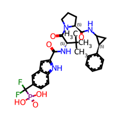 CC(C)(C)[C@H](NC(=O)c1cc2cc(C(F)(F)P(=O)(O)O)ccc2[nH]1)C(=O)N1CCC[C@H]1C(=O)NC1C[C@H]1c1ccccc1